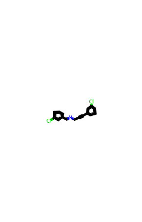 Clc1cccc(C#CC/N=C/c2cccc(Cl)c2)c1